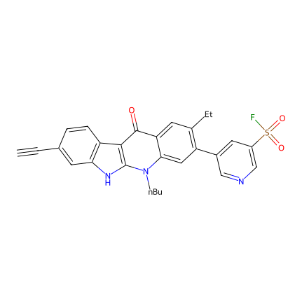 C#Cc1ccc2c(c1)[nH]c1c2c(=O)c2cc(CC)c(-c3cncc(S(=O)(=O)F)c3)cc2n1CCCC